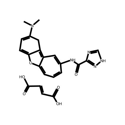 CN(C)C1=CC=c2oc3c(c2C1)C=C(NC(=O)c1nc[nH]n1)C=CC=3.O=C(O)/C=C/C(=O)O